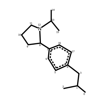 CC(C)Cc1ccc(C2CCCN2C(C)C)cc1